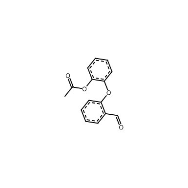 CC(=O)Oc1ccccc1Oc1ccccc1C=O